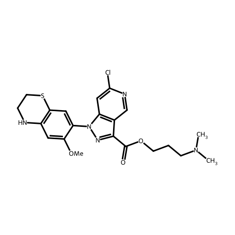 COc1cc2c(cc1-n1nc(C(=O)OCCCN(C)C)c3cnc(Cl)cc31)SCCN2